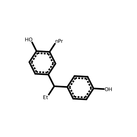 CCCc1cc(C(CC)c2ccc(O)cc2)ccc1O